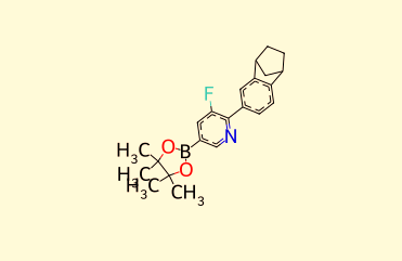 CC1(C)OB(c2cnc(-c3ccc4c(c3)C3CCC4C3)c(F)c2)OC1(C)C